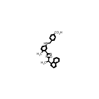 Cc1ccc(NCc2ccc(C(=O)O)cc2)cc1-c1noc(C(C)c2cccc3ccccc23)n1